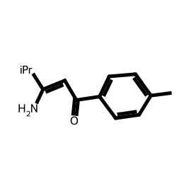 Cc1ccc(C(=O)C=C(N)C(C)C)cc1